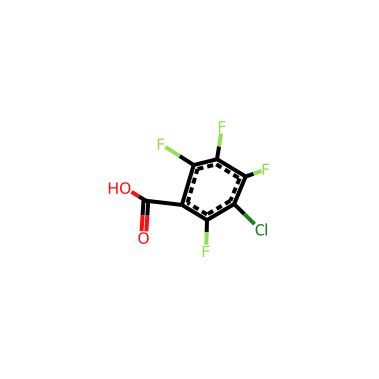 O=C(O)c1c(F)c(F)c(F)c(Cl)c1F